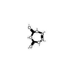 O=C1ON=NOC(=O)O1